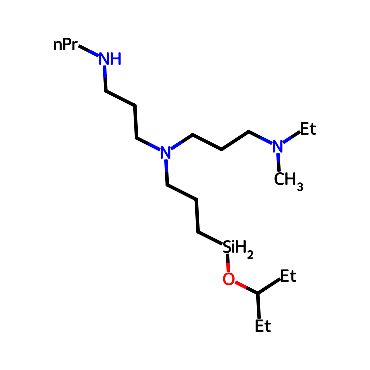 CCCNCCCN(CCC[SiH2]OC(CC)CC)CCCN(C)CC